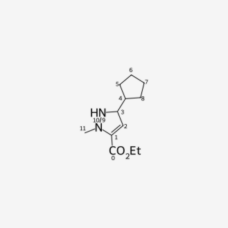 CCOC(=O)C1=CC(C2CCCC2)NN1C